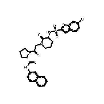 O=C(Nc1ccc2ccccc2c1)[C@@H]1CCCN1C(=O)CN1CCC[C@H](NS(=O)(=O)c2cc3ccc(Cl)cc3s2)C1=O